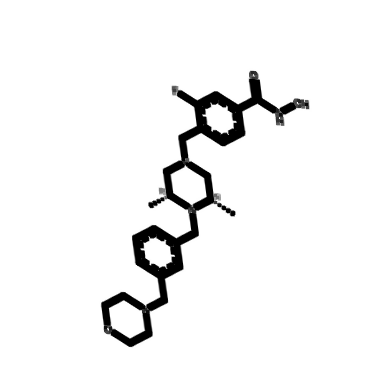 C[C@@H]1CN(Cc2ccc(C(=O)NO)cc2F)C[C@H](C)N1Cc1cccc(CN2CCOCC2)c1